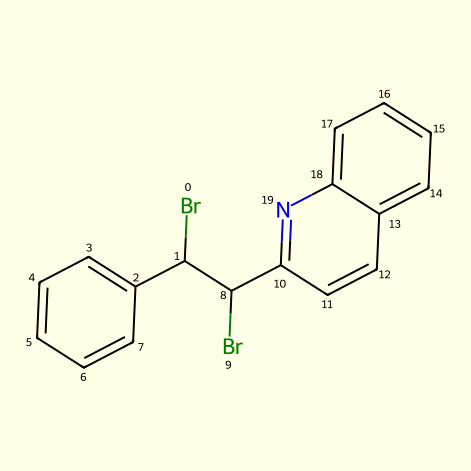 BrC(c1ccccc1)C(Br)c1ccc2ccccc2n1